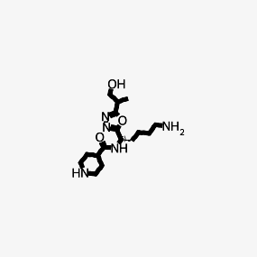 CC(CO)c1nnc([C@H](CCCCN)NC(=O)C2CCNCC2)o1